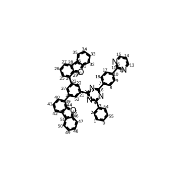 c1ccc(-c2nc(-c3ccc(-c4ncccn4)cc3)nc(-c3cc(-c4cccc5c4oc4ccccc45)cc(-c4cccc5c4oc4ccccc45)c3)n2)cc1